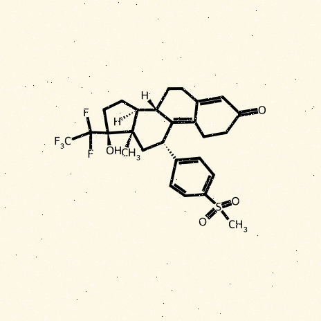 C[C@]12C[C@@H](c3ccc(S(C)(=O)=O)cc3)C3=C4CCC(=O)C=C4CC[C@H]3[C@@H]1CC[C@@]2(O)C(F)(F)C(F)(F)F